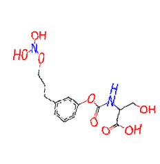 O=C(NC(CO)C(=O)O)Oc1cccc(CCCON(O)O)c1